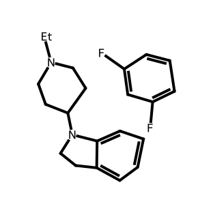 CCN1CCC(N2CCc3ccccc32)CC1.Fc1cccc(F)c1